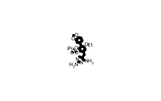 CCOc1cc(Cc2cnc(N)nc2N)cc(OS(=O)(=O)C(C)C)c1-c1ccc2c(c1)OCO2